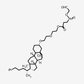 CC(C)CCC[C@@H](C)[C@H]1CC[C@H]2[C@@H]3CC=C4C[C@@H](OCCOCCOC(=O)CC[PH](=O)OCC=O)CC[C@]4(C)[C@H]3CC[C@]12C